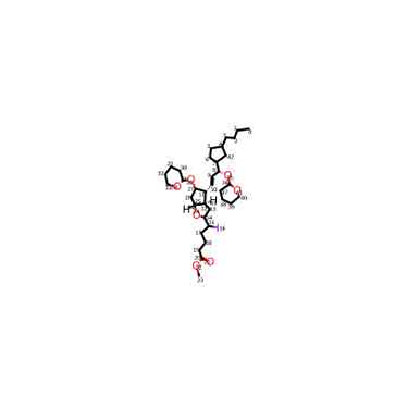 CCCCC1CCC([C@@H](/C=C/[C@@H]2[C@H]3CC(C(I)CCCC(=O)OC)O[C@@H]3C[C@H]2OC2CCCCO2)OC2CCCCO2)C1